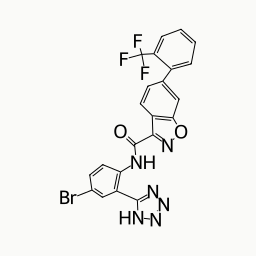 O=C(Nc1ccc(Br)cc1-c1nnn[nH]1)c1noc2cc(-c3ccccc3C(F)(F)F)ccc12